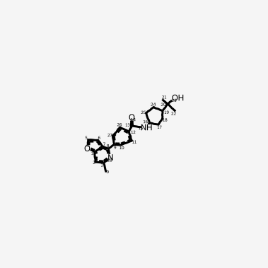 Cc1cc2occc2c(-c2ccc(C(=O)NC3CCC(C(C)(C)O)CC3)cc2)n1